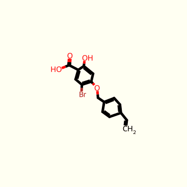 C=Cc1ccc(COc2cc(O)c(C(=O)O)cc2Br)cc1